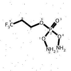 NOP(=O)(ON)OCCC(F)(F)F